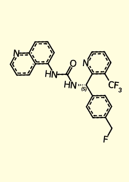 O=C(Nc1cccc2ncccc12)N[C@@H](c1ccc(CF)cc1)c1ncccc1C(F)(F)F